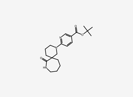 CC(C)(C)OC(=O)c1ccc(N2CCCC3(CCCCNC3=O)C2)nc1